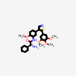 COc1ccc(-c2cnsc2-c2cc(OC)c(OC)c(OC)c2)cc1NC(=O)[C@H](N)c1ccccc1